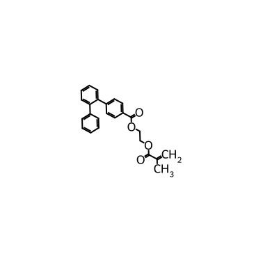 C=C(C)C(=O)OCCOC(=O)c1ccc(-c2ccccc2-c2ccccc2)cc1